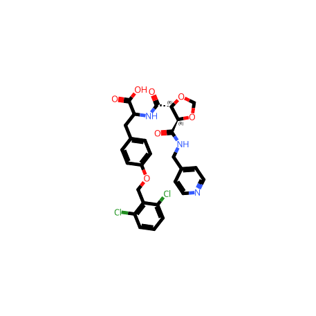 O=C(O)C(Cc1ccc(OCc2c(Cl)cccc2Cl)cc1)NC(=O)[C@@H]1OCO[C@H]1C(=O)NCc1ccncc1